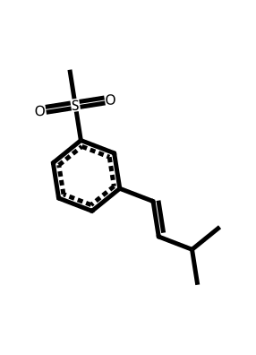 CC(C)/C=C/c1cccc(S(C)(=O)=O)c1